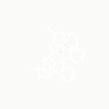 O=C1c2ccccc2C(c2ccccc2-c2ccc(O)cc2)(c2ccccc2-c2ccc(O)cc2)N1c1ccccc1